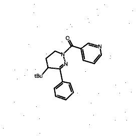 CC(C)(C)C1CCN(C(=O)c2cccnc2)N=C1c1ccccc1